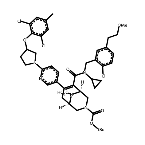 COCCc1ccc(Cl)c(CN(C(=O)C2=C(c3ccc(N4CCC(Oc5c(Cl)cc(C)cc5Cl)C4)nc3)C[C@@H]3CN(C(=O)OC(C)(C)C)C[C@H]2N3C(=O)O)C2CC2)c1